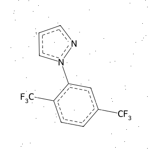 FC(F)(F)c1ccc(C(F)(F)F)c(-n2c[c]cn2)c1